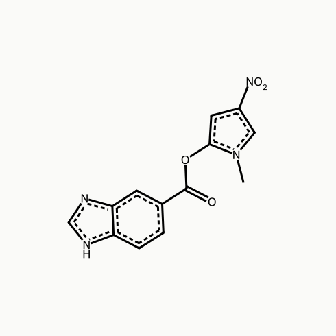 Cn1cc([N+](=O)[O-])cc1OC(=O)c1ccc2[nH]cnc2c1